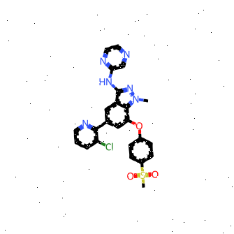 Cn1nc(Nc2cnccn2)c2cc(-c3ncccc3Cl)cc(Oc3ccc(S(C)(=O)=O)cc3)c21